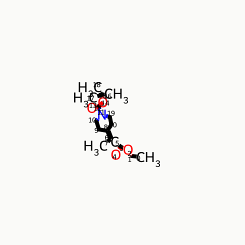 CCOC(=O)CC(C)=C1CCN(C(=O)OC(C)(C)C)CC1